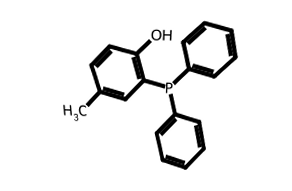 Cc1ccc(O)c(P(c2ccccc2)c2ccccc2)c1